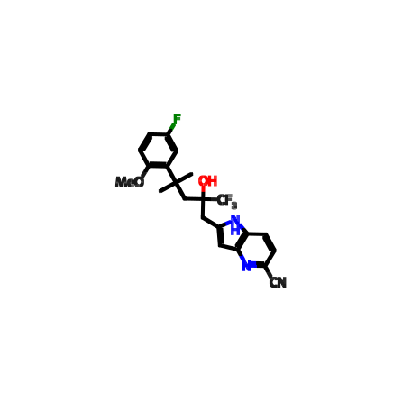 COc1ccc(F)cc1C(C)(C)CC(O)(Cc1cc2nc(C#N)ccc2[nH]1)C(F)(F)F